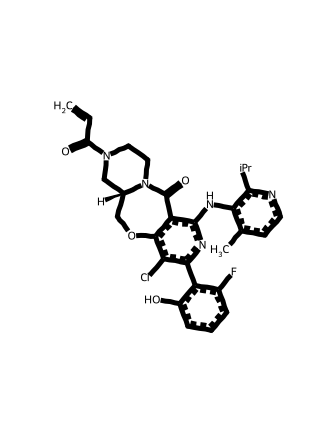 C=CC(=O)N1CCN2C(=O)c3c(Nc4c(C)ccnc4C(C)C)nc(-c4c(O)cccc4F)c(Cl)c3OC[C@@H]2C1